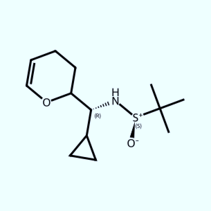 CC(C)(C)[S@@+]([O-])N[C@H](C1CC1)C1CCC=CO1